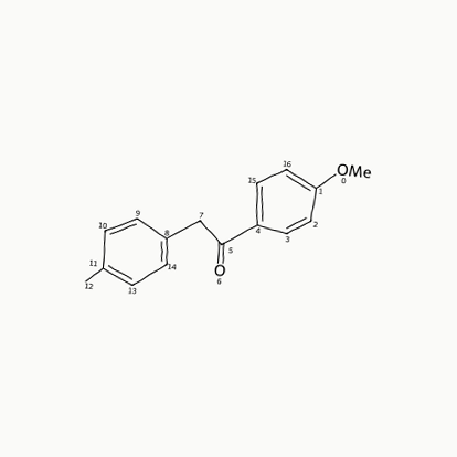 COc1ccc(C(=O)Cc2ccc(C)cc2)cc1